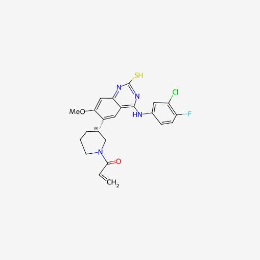 C=CC(=O)N1CCC[C@H](c2cc3c(Nc4ccc(F)c(Cl)c4)nc(S)nc3cc2OC)C1